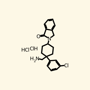 Cl.Cl.NCC1(c2cccc(Cl)c2)CCC(N2Cc3ccccc3C2=O)CC1